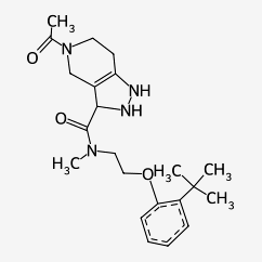 CC(=O)N1CCC2=C(C1)C(C(=O)N(C)CCOc1ccccc1C(C)(C)C)NN2